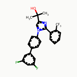 CC(C)(O)c1cn(-c2ccc(-c3cc(F)cc(F)c3)cc2)c(-c2ccccc2C(F)(F)F)n1